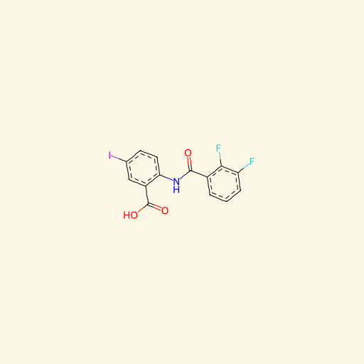 O=C(O)c1cc(I)ccc1NC(=O)c1cccc(F)c1F